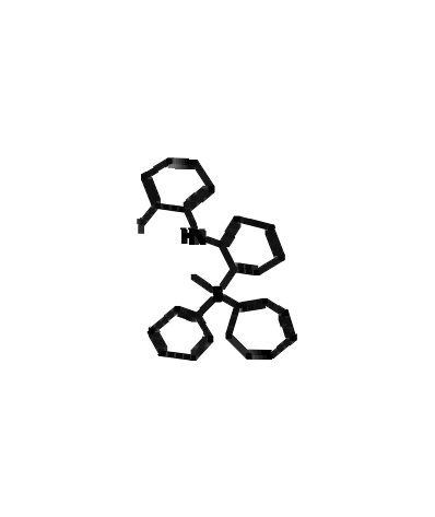 CS(C1=CC=CC=CC1)(c1ccccc1)c1ccccc1Nc1ccccc1I